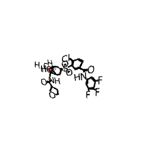 C[C@H]1CC2C[C@@H](S(=O)(=O)c3cc(C(=O)Nc4cc(F)c(F)c(F)c4)ccc3Cl)C[C@H]1[C@@]2(O)CNC(=O)C1CCOC1